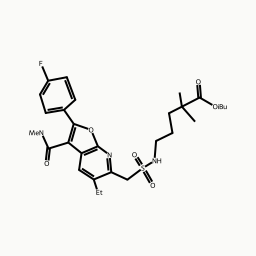 CCc1cc2c(C(=O)NC)c(-c3ccc(F)cc3)oc2nc1CS(=O)(=O)NCCCC(C)(C)C(=O)OCC(C)C